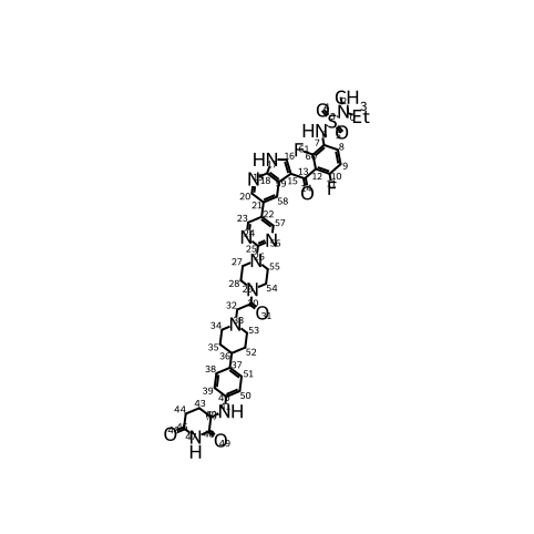 CCN(C)S(=O)(=O)Nc1ccc(F)c(C(=O)c2c[nH]c3ncc(-c4cnc(N5CCN(C(=O)CN6CCC(c7ccc(N[C@@H]8CCC(=O)NC8=O)cc7)CC6)CC5)nc4)cc23)c1F